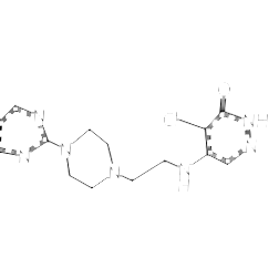 O=c1[nH]ncc(NCCN2CCN(c3ncccn3)CC2)c1Cl